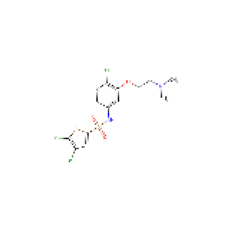 CN(C)CCOc1cc(NS(=O)(=O)c2cc(Br)c(Br)s2)ccc1Cl